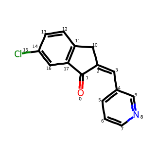 O=C1C(=Cc2cccnc2)Cc2ccc(Cl)cc21